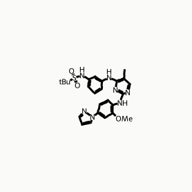 COc1cc(-n2cccn2)ccc1Nc1ncc(C)c(Nc2cccc(NS(=O)(=O)C(C)(C)C)c2)n1